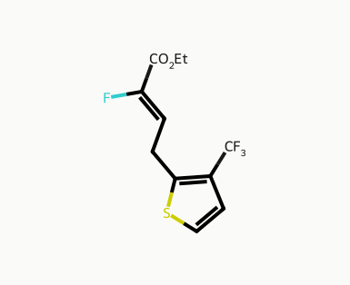 CCOC(=O)C(F)=CCc1sccc1C(F)(F)F